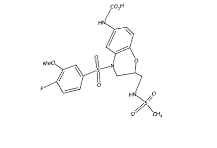 COc1cc(S(=O)(=O)N2CC(CNS(C)(=O)=O)Oc3ccc(NC(=O)O)cc32)ccc1F